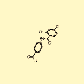 O=C(Cl)c1ccc(NC(=O)c2ccc(Cl)cc2Cl)cc1